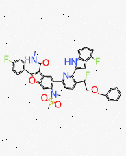 CNC(=O)c1c(-c2ccc(F)cc2)oc2cc(N(C)S(C)(=O)=O)c(-c3ccc(C(F)COCc4ccccc4)c(-c4cc5c(F)cccc5[nH]4)n3)cc12